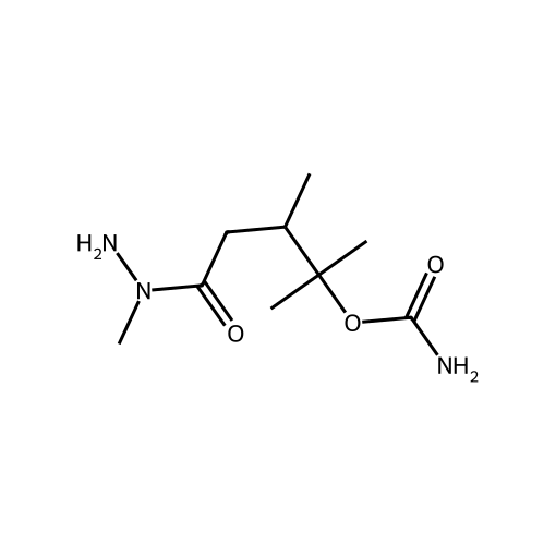 CC(CC(=O)N(C)N)C(C)(C)OC(N)=O